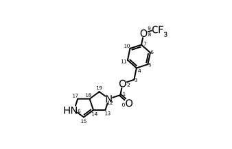 O=C(OCc1ccc(OC(F)(F)F)cc1)N1CC2=CNCC2C1